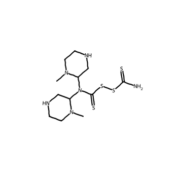 CN1CCNCC1N(C(=S)SSC(N)=S)C1CNCCN1C